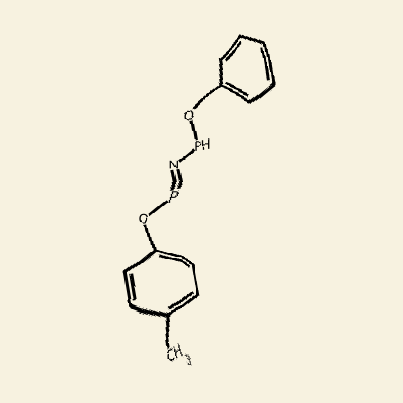 Cc1ccc(OP=NPOc2ccccc2)cc1